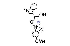 COc1ccc2c(c1)C(C)(C)C(/C=C1\C(=O)C(c3cn(C)c4ccccc34)=C1O)=[N+]2C